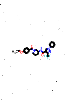 CCOc1ccc(C(=O)N2CCCC(NC(=O)c3cn(-c4ccccc4)nc3C(F)(F)F)C2)cc1